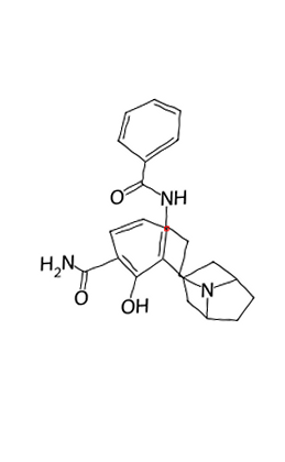 NC(=O)c1cccc(C2CC3CCC(C2)N3CCCNC(=O)c2ccccc2)c1O